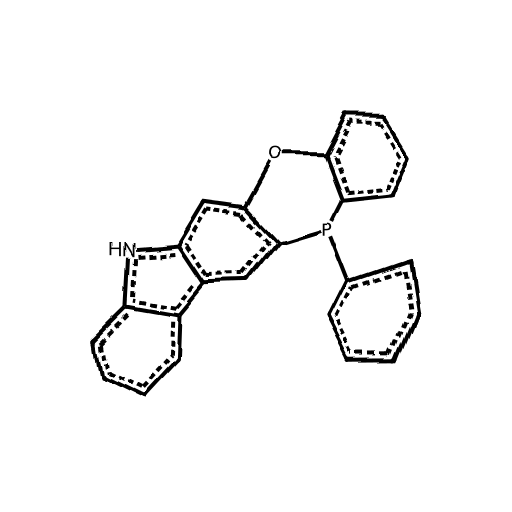 c1ccc(P2c3ccccc3Oc3cc4[nH]c5ccccc5c4cc32)cc1